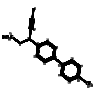 CC#C[C@H](CC(=O)O)c1ccc(-c2ccc(C(F)(F)F)cc2)cc1